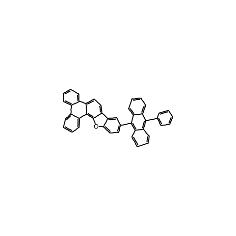 c1ccc(-c2c3ccccc3c(-c3ccc4oc5c(ccc6c7ccccc7c7ccccc7c65)c4c3)c3ccccc23)cc1